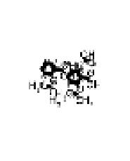 CC(C)Oc1ccccc1C(=O)O.CC(C)Oc1ccccc1C(=O)O.O=C(O)O